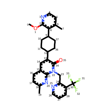 COc1nccc(C)c1C1CCC(c2cc3ccc(C)nc3n(Cc3ncccc3C(F)(F)F)c2=O)CC1